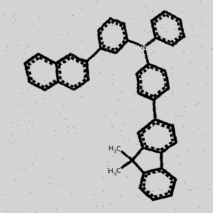 CC1(C)c2ccccc2-c2ccc(-c3ccc(N(c4ccccc4)c4cccc(-c5ccc6ccccc6c5)c4)cc3)cc21